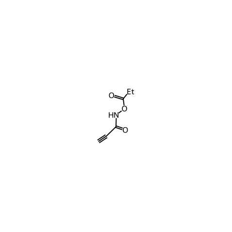 C#CC(=O)NOC(=O)CC